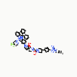 Cn1cnc(-c2ccc(C3=CCN(C(=O)CN4CC[C@]5(CCN(c6ccc7c(c6)c(N6CCC(F)(F)CC6)nn7C(c6ccccc6)(c6ccccc6)c6ccccc6)C5=O)C4)CC3)cc2)n1